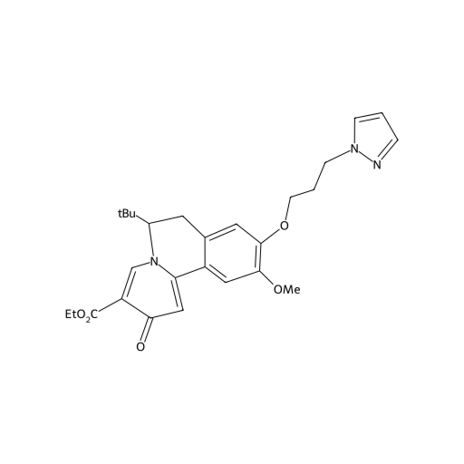 CCOC(=O)c1cn2c(cc1=O)-c1cc(OC)c(OCCCn3cccn3)cc1CC2C(C)(C)C